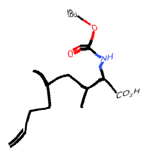 C=CCCC(C)CC(C)C(NC(=O)OC(C)(C)C)C(=O)O